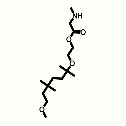 CNCC(=O)OCCOC(C)(C)CCC(C)(C)CCOC